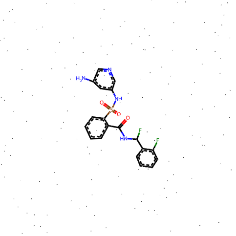 Nc1cncc(NS(=O)(=O)c2ccccc2C(=O)NC(F)c2ccccc2F)c1